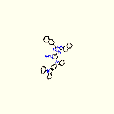 C1=C(C2=NC(C3=Cc4ccccc4CC3)NC(c3ccc4ccccc4c3)=N2)C=C(n2c3ccccc3c3cc4c5ccccc5n(-c5ccccc5)c4cc32)CN1